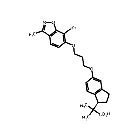 CCCc1c(OCCCOc2ccc3c(c2)CC[C@H]3C(C)(C)C(=O)O)ccc2c(C(F)(F)F)noc12